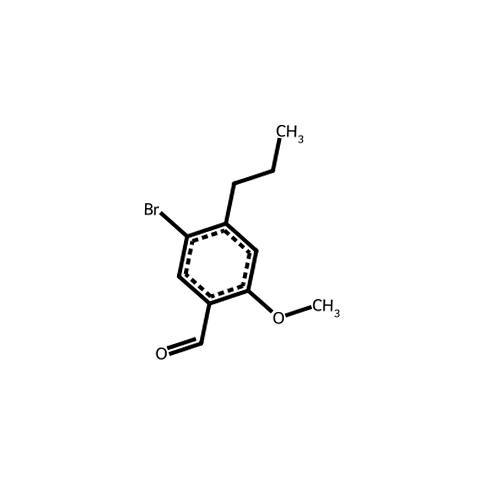 CCCc1cc(OC)c(C=O)cc1Br